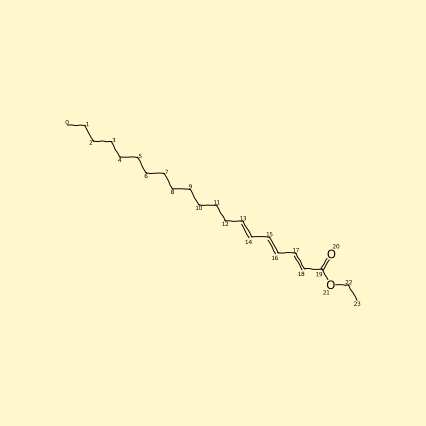 CCCCCCCCCCCCCC=CC=CC=CC(=O)OCC